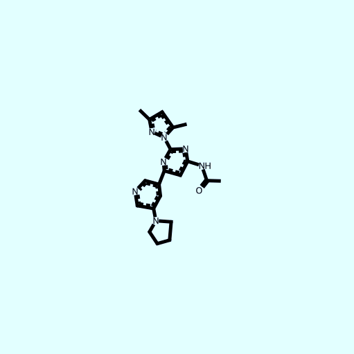 CC(=O)Nc1cc(-c2cncc(N3CCCC3)c2)nc(-n2nc(C)cc2C)n1